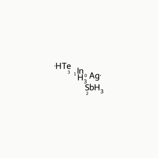 [Ag].[InH3].[SbH3].[TeH]